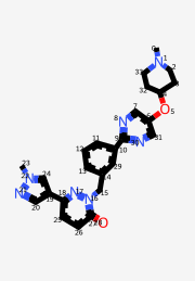 CN1CCC(Oc2cnc(-c3cccc(Cn4nc(-c5cnn(C)c5)ccc4=O)c3)nc2)CC1